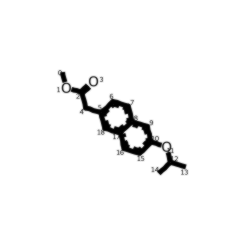 COC(=O)Cc1ccc2cc(OC(C)C)ccc2c1